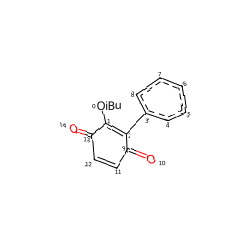 CC(C)COC1=C(c2ccccc2)C(=O)C=CC1=O